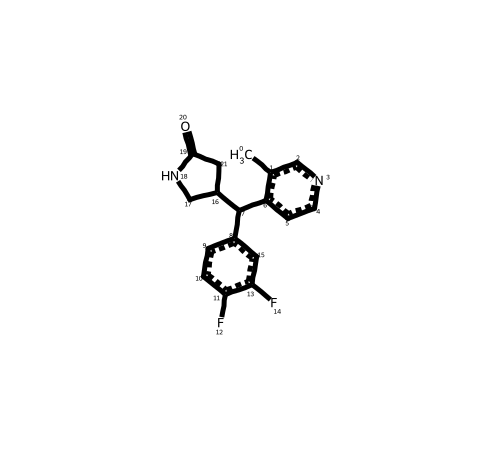 Cc1cnccc1C(c1ccc(F)c(F)c1)C1CNC(=O)C1